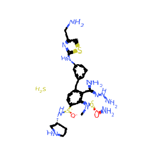 CN(SON)c1c([S+]([O-])N[C@@H]2CCNC2)ccc(-c2cccc(Nc3nc(CN)cs3)c2)c1/C(N)=N/NN.S